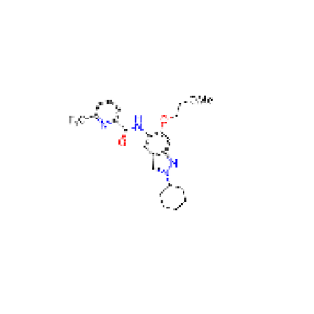 COCCOc1cc2nn(C3CCCCC3)cc2cc1NC(=O)c1cccc(C(F)(F)F)n1